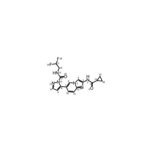 O=C(Nc1cn2cc(-c3ccnn3C(=O)NCC(F)F)ccc2n1)C1CC1